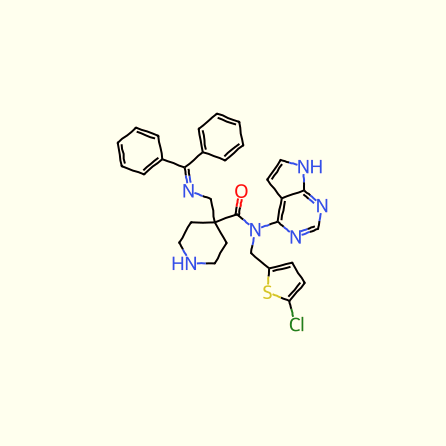 O=C(N(Cc1ccc(Cl)s1)c1ncnc2[nH]ccc12)C1(CN=C(c2ccccc2)c2ccccc2)CCNCC1